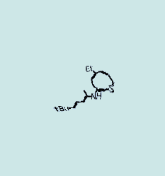 CCC1=C/C/C(N/C(C)=C/C=C/C(C)(C)C)=C\SC/C=C\1